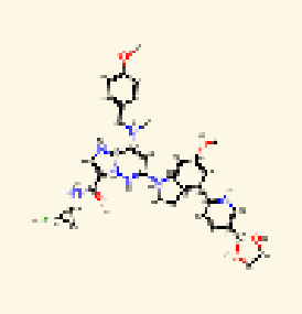 COc1ccc(CN(C)c2cc(N3CCc4c(-c5ccc(C6OCCO6)cn5)cc(OC)cc43)nn3c(C(=O)N[C@@H]4C[C@@H]4F)cnc23)cc1